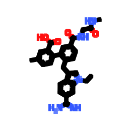 CCn1cc(Cc2ccc(C(=O)NCC(=O)NC)cc2-c2ccc(C)cc2C(=O)O)c2ccc(C(=N)N)cc21